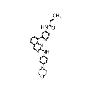 CC=CC(=O)Nc1ccnc(-c2cccc3cnc(Nc4ccc(N5CCOCC5)cc4)nc23)c1